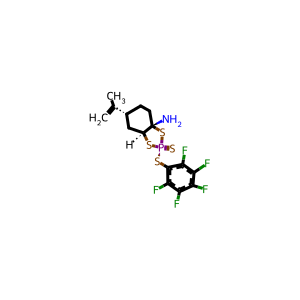 C=C(C)[C@@H]1CC[C@]2(N)S[P@](=S)(Sc3c(F)c(F)c(F)c(F)c3F)S[C@H]2C1